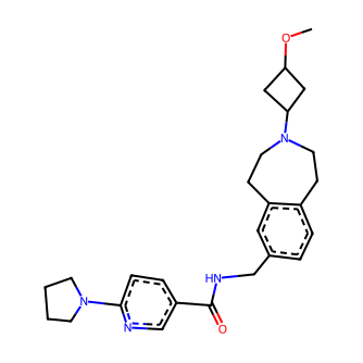 COC1CC(N2CCc3ccc(CNC(=O)c4ccc(N5CCCC5)nc4)cc3CC2)C1